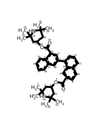 CC1(C)CC(OC(=O)c2ccc3cccc(-c4cc(C(=O)OC5CC(C)(C)NC(C)(C)C5)c5ccccc5c4)c3c2)CC(C)(C)N1